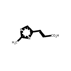 Cc1nc(C=CC(=O)O)cs1